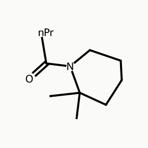 CCCC(=O)N1CCCCC1(C)C